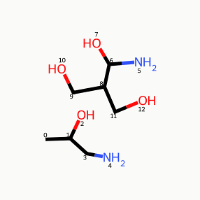 CC(O)CN.NC(O)C(CO)CO